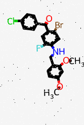 COc1ccc(CNc2cc(Br)c(C(=O)c3ccc(Cl)cc3)cc2F)c(OC)c1